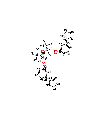 CC(C)(C)[Si](C)(COc1cccc(C2=CCCC2)c1)O[Si](C)(COc1cccc(C2=CCCC2)c1)C(C)(C)C